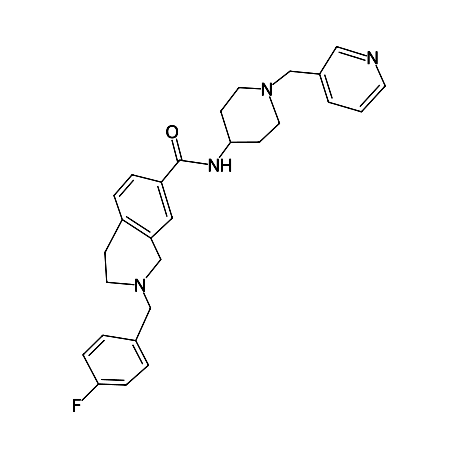 O=C(NC1CCN(Cc2cccnc2)CC1)c1ccc2c(c1)CN(Cc1ccc(F)cc1)CC2